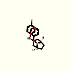 Fc1ccc(NC2C[C@H]3CC[C@@H](C2)N3Cc2ccccc2)cc1